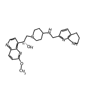 COc1ccc2nccc([C@@H](O)CN3CCC(NCc4ccc5c(n4)NCCC5)CC3)c2n1